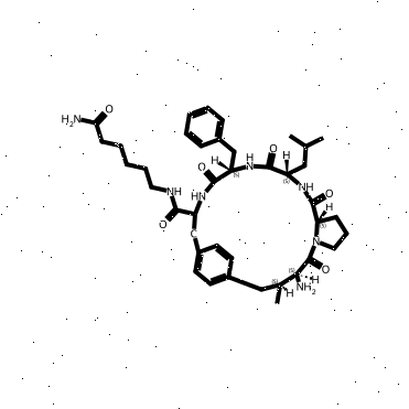 CC(C)C[C@@H]1NC(=O)[C@@H]2CCCN2C(=O)[C@@H](N)[C@@H](C)Cc2ccc(cc2)CC(C(=O)NCCCCCC(N)=O)NC(=O)[C@H](Cc2ccccc2)NC1=O